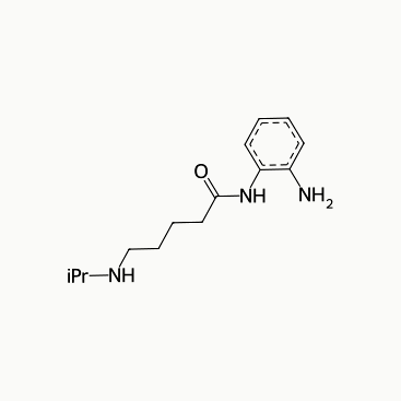 CC(C)NCCCCC(=O)Nc1ccccc1N